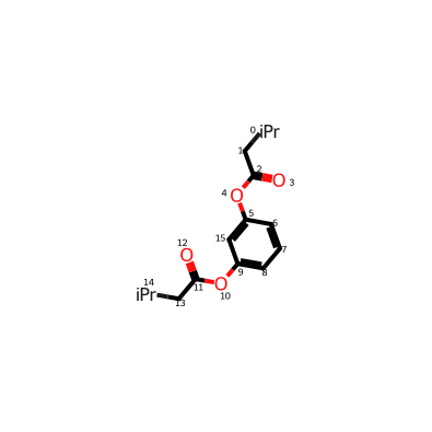 CC(C)CC(=O)Oc1cccc(OC(=O)CC(C)C)c1